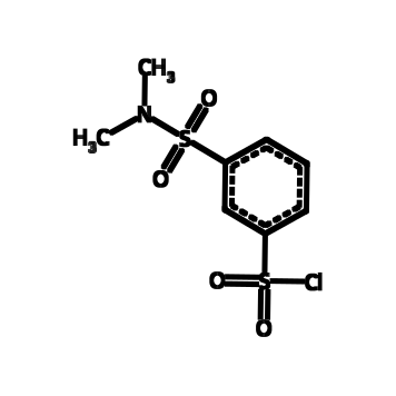 CN(C)S(=O)(=O)c1cccc(S(=O)(=O)Cl)c1